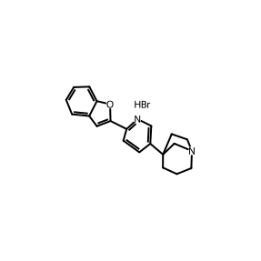 Br.c1ccc2oc(-c3ccc(C45CCCN(CC4)C5)cn3)cc2c1